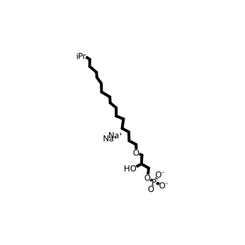 CC(C)CCCCCCCCCCCCCCCOCC(O)COP(=O)([O-])[O-].[Na+].[Na+]